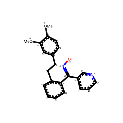 COc1ccc(CCc2ccccc2C(=NO)c2cccnc2)cc1OC